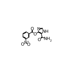 NC(=O)c1[nH]cnc1OC(=O)c1cccc([N+](=O)[O-])c1